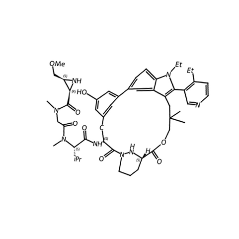 CCc1ccncc1-c1c2c3cc(ccc3n1CC)-c1cc(O)cc(c1)C[C@H](NC(=O)[C@H](C(C)C)N(C)C(=O)CN(C)C(=O)[C@@H]1N[C@@H]1COC)C(=O)N1CCC[C@H](N1)C(=O)OCC(C)(C)C2